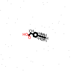 [2H]C([2H])([2H])C([2H])(C)C([2H])([2H])c1ccc(C(C)C(=O)O)cc1